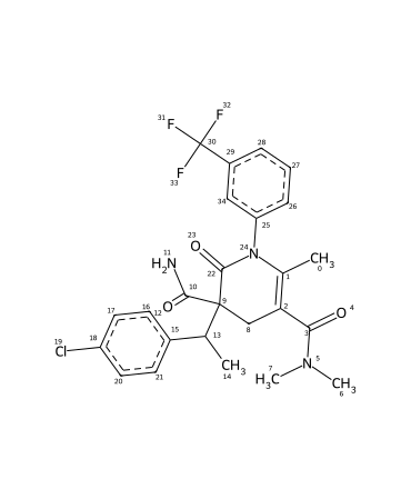 CC1=C(C(=O)N(C)C)CC(C(N)=O)(C(C)c2ccc(Cl)cc2)C(=O)N1c1cccc(C(F)(F)F)c1